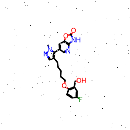 Cn1ncc(CCCCCOc2ccc(F)cc2CO)c1-c1cnc2[nH]c(=O)oc2c1